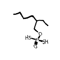 CCCCC(CC)COP(=O)(S)S